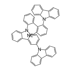 N#Cc1cccc(-n2c3ccccc3c3ccccc32)c1-c1ccccc1-n1c2ccccc2c2cc(-n3c4ccccc4c4ccccc43)ccc21